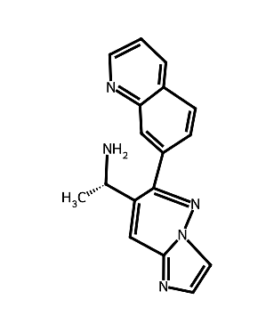 C[C@H](N)c1cc2nccn2nc1-c1ccc2cccnc2c1